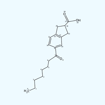 CCCCCCCC(=O)c1ccc2c(c1)CC(C(=O)O)C2